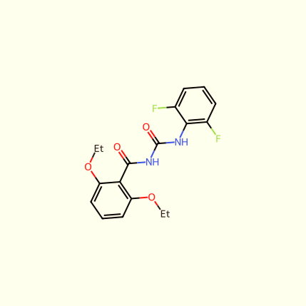 CCOc1cccc(OCC)c1C(=O)NC(=O)Nc1c(F)cccc1F